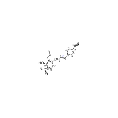 CCCc1c(OC/C=C/c2ccc(C#N)cc2)ccc(C(C)=O)c1O